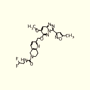 COc1cc2nnc(-c3cc(C)on3)n2nc1OCc1ccc2c(n1)CCN(C(=O)NCC(F)F)C2